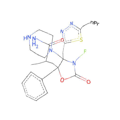 CCCc1nnc(C2(N3CCNCC3)N(F)C(=O)OC2(c2ccccc2)C(C)C(N)=O)s1